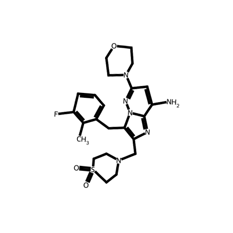 Cc1c(F)cccc1Cc1c(CN2CCS(=O)(=O)CC2)nc2c(N)cc(N3CCOCC3)nn12